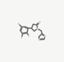 O=C1CC(c2cc(F)cc(F)c2F)CN1CC1=NC=NC1